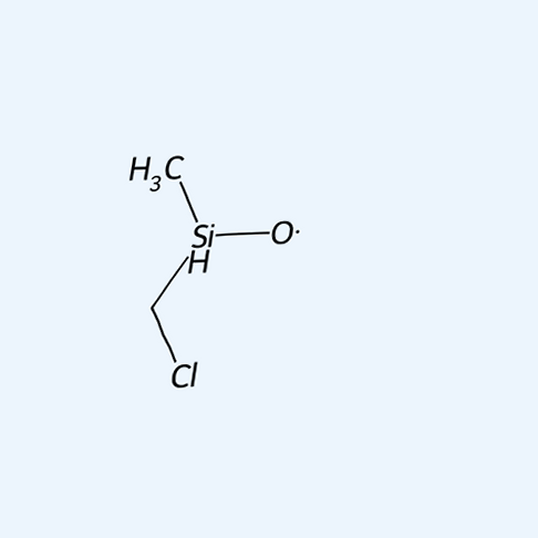 C[SiH]([O])CCl